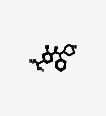 CN(C)c1ccc(C(=O)C(c2ccccc2)C2CCNCC2)c(Cl)c1